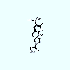 Cc1nc2c(cc1B(O)O)CC[C@@]1(CCN(C(=O)OC(C)(C)C)C1)N2